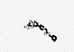 CC1(I)C=NN2N=CC(c3cc[n+](CC(=O)OCc4ccccc4)cc3)=CC2=N1